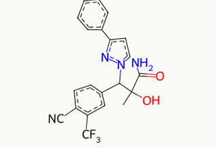 CC(O)(C(N)=O)C(c1ccc(C#N)c(C(F)(F)F)c1)n1ccc(-c2ccccc2)n1